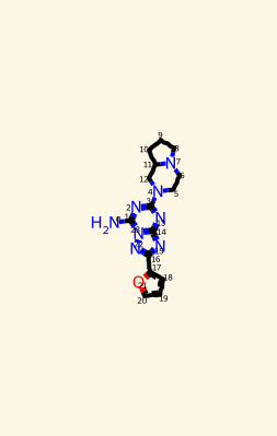 Nc1nc(N2CCN3CCCC3C2)nc2nc(-c3ccco3)nn12